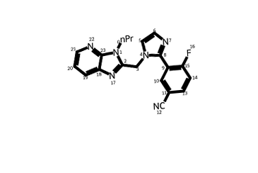 CCCn1c(Cn2ccnc2-c2cc(C#N)ccc2F)nc2cccnc21